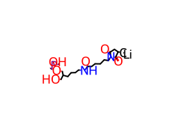 [Li][CH2]C1CC(=O)N(CCCCCC(=O)NCCCCC(CO)COP(=C)(C)O)C1=O